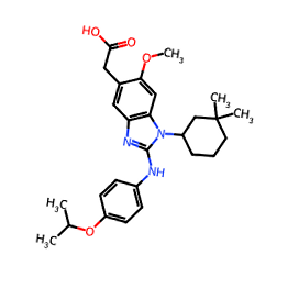 COc1cc2c(cc1CC(=O)O)nc(Nc1ccc(OC(C)C)cc1)n2C1CCCC(C)(C)C1